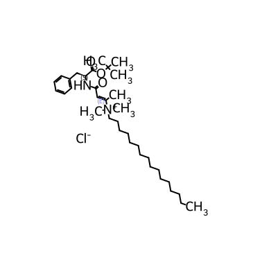 CCCCCCCCCCCCCCCC[N+](C)(C)/C(C)=C/C(=O)N[C@@H](Cc1ccccc1)C(=O)OC(C)(C)C.[Cl-]